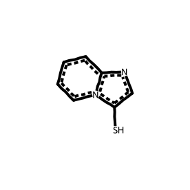 Sc1cnc2ccccn12